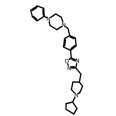 c1ccc(N2CCN(Cc3ccc(-c4nc(CC5CCN(C6CCCC6)CC5)no4)cc3)CC2)cc1